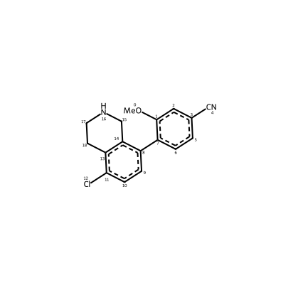 COc1cc(C#N)ccc1-c1ccc(Cl)c2c1CNCC2